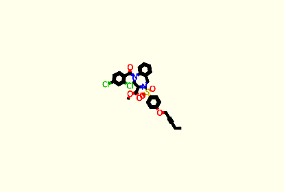 CCC#CCOc1ccc(S(=O)(=O)N2Cc3ccccc3N(C(=O)c3ccc(Cl)cc3Cl)CC2C(=O)OC)cc1